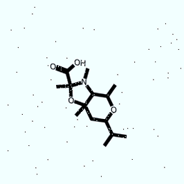 CC(C)C1CC2(C)OC(C)(C(=O)O)N(C)C2C(C)O1